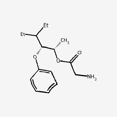 CCC(CC)[C@@H](Oc1ccccc1)[C@H](C)OC(=O)CN